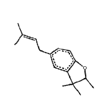 CC(C)=CCc1ccc2c(c1)C(C)(C)C(C)O2